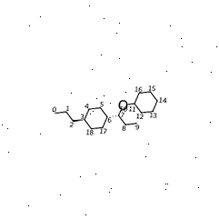 CCC[C@H]1CC[C@H](C(CC)OC2CCCCC2)CC1